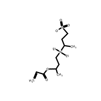 C=CC(=O)OC(C)CC[N+](CC)(CC)C(C)CCS(=O)(=O)[O-]